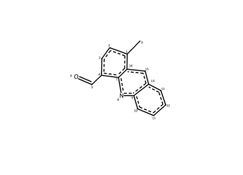 Cc1ccc(C=O)c2nc3ccccc3cc12